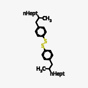 CCCCCCCC(C)Cc1ccc(SSc2ccc(CC(C)CCCCCCC)cc2)cc1